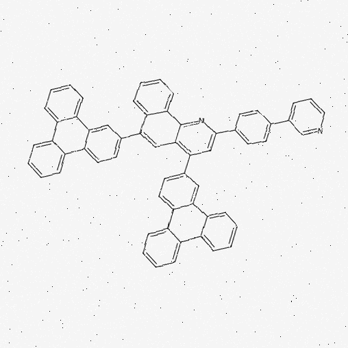 c1cncc(-c2ccc(-c3cc(-c4ccc5c6ccccc6c6ccccc6c5c4)c4cc(-c5ccc6c7ccccc7c7ccccc7c6c5)c5ccccc5c4n3)cc2)c1